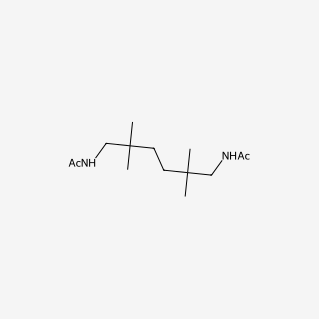 CC(=O)NCC(C)(C)CCC(C)(C)CNC(C)=O